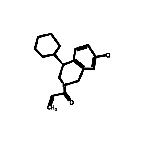 C=CC(=O)N1Cc2cc(Cl)ccc2[C@H](C2CCCCC2)C1